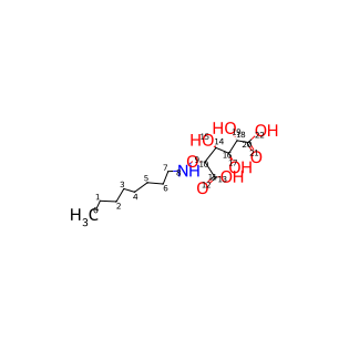 CCCCCCCCNO[C@@H](C(=O)O)[C@@H](O)[C@H](O)[C@H](O)C(=O)O